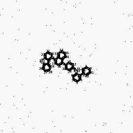 c1ccc(-c2ccccc2Nc2ccc(-c3ccc(-c4cccc5oc6ccccc6c45)c4ccccc34)cc2)cc1